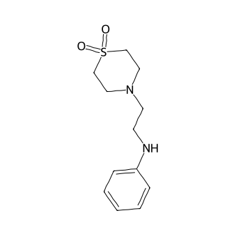 O=S1(=O)CCN(CCNc2ccccc2)CC1